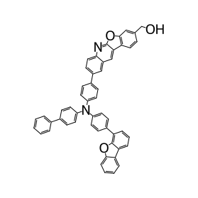 OCc1ccc2c(c1)oc1nc3ccc(-c4ccc(N(c5ccc(-c6ccccc6)cc5)c5ccc(-c6cccc7c6oc6ccccc67)cc5)cc4)cc3cc12